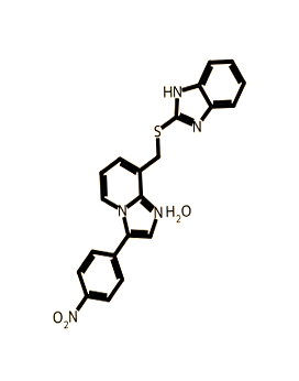 O.O=[N+]([O-])c1ccc(-c2cnc3c(CSc4nc5ccccc5[nH]4)cccn23)cc1